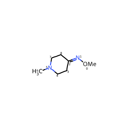 CON=C1CCN(C)CC1